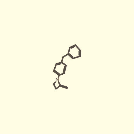 C=C1CCN1c1ccc(Cc2ccccc2)cc1